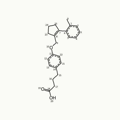 Cc1ccccc1C1=C(COc2ccc(CCCC(=O)O)cc2)CCC1